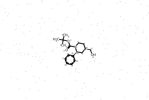 CC(C)(C)OC(=O)N1CC[C@@H](CO)C[C@H]1c1ccccc1